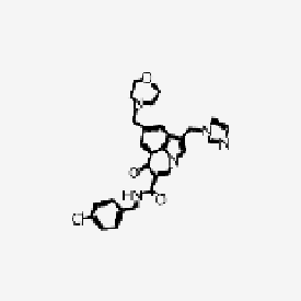 O=C(NCc1ccc(Cl)cc1)c1cn2cc(Cn3ccnc3)c3cc(CN4CCOCC4)cc(c1=O)c32